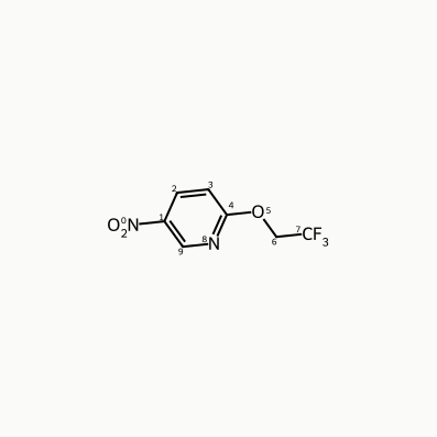 O=[N+]([O-])c1ccc(OCC(F)(F)F)nc1